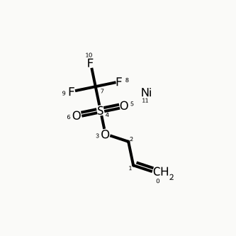 C=CCOS(=O)(=O)C(F)(F)F.[Ni]